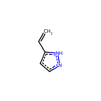 C=Cc1ccn[nH]1